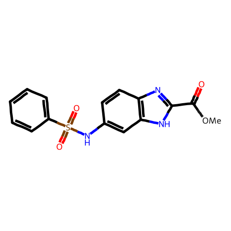 COC(=O)c1nc2ccc(NS(=O)(=O)c3ccccc3)cc2[nH]1